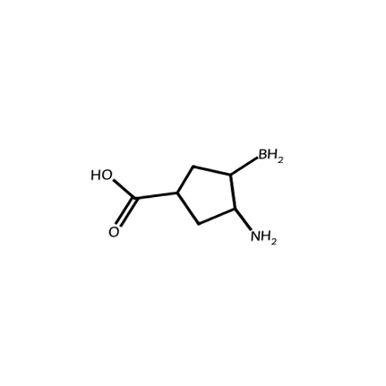 BC1CC(C(=O)O)CC1N